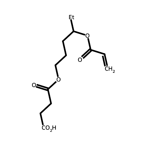 C=CC(=O)OC(CC)CCCOC(=O)CCC(=O)O